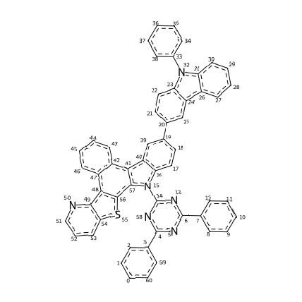 c1ccc(-c2nc(-c3ccccc3)nc(-n3c4ccc(-c5ccc6c(c5)c5ccccc5n6-c5ccccc5)cc4c4c5ccccc5c5c6ncccc6sc5c43)n2)cc1